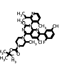 Cc1ccc(F)c(-c2nc3c(cc2Cl)c(N2CCN(C(=O)OC(C)(C)C)CC2C)nc(=O)n3-c2c(C)ccnc2C(C)C)c1